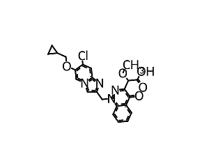 COC(C(=O)O)c1nn(Cc2cn3cc(OCC4CC4)c(Cl)cc3n2)c2ccccc2c1=O